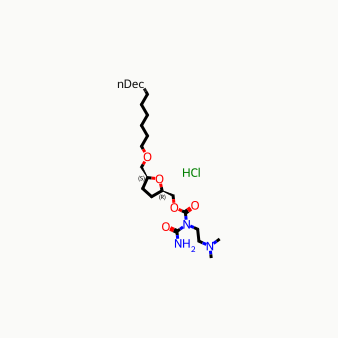 CCCCCCCCCCCCCCCCOC[C@@H]1CC[C@H](COC(=O)N(CCN(C)C)C(N)=O)O1.Cl